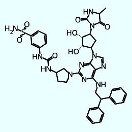 CC1NC(=O)N([C@H]2C[C@@H](n3cnc4c(NCC(c5ccccc5)c5ccccc5)nc(N5CCC(NC(=O)Nc6cccc(S(N)(=O)=O)c6)C5)nc43)[C@H](O)[C@@H]2O)C1=O